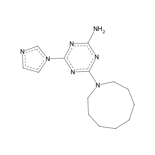 Nc1nc(N2CCCCCCCC2)nc(-n2ccnc2)n1